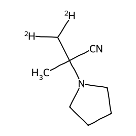 [2H]C([2H])C(C)(C#N)N1CCCC1